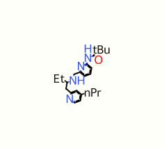 CCCc1ccnc(CC(CC)NCc2cccc(NC(=O)C(C)(C)C)n2)c1